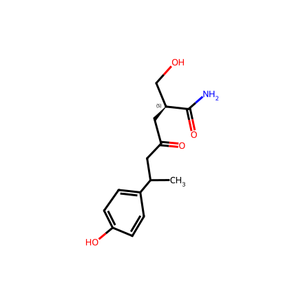 CC(CC(=O)C[C@@H](CO)C(N)=O)c1ccc(O)cc1